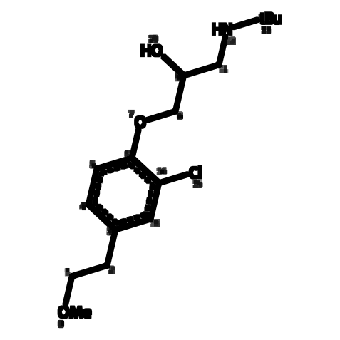 COCCc1ccc(OCC(O)CNC(C)(C)C)c(Cl)c1